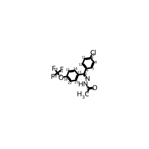 CC(=O)NN=C(c1ccc(Cl)cc1)c1ccc(OC(F)(F)F)cc1